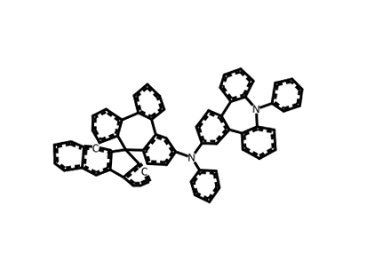 c1ccc(N(c2ccc3c(c2)-c2ccccc2N(c2ccccc2)c2ccccc2-3)c2ccc3c(c2)-c2ccccc2-c2ccccc2C32c3ccccc3-c3cc4ccccc4cc32)cc1